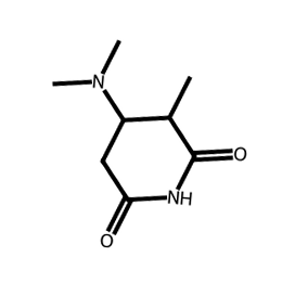 CC1C(=O)NC(=O)CC1N(C)C